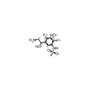 CS(=O)(=O)Nc1cc(C(O)CN)c(F)cc1F.Cl